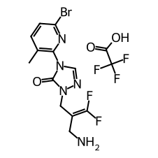 Cc1ccc(Br)nc1-n1cnn(CC(CN)=C(F)F)c1=O.O=C(O)C(F)(F)F